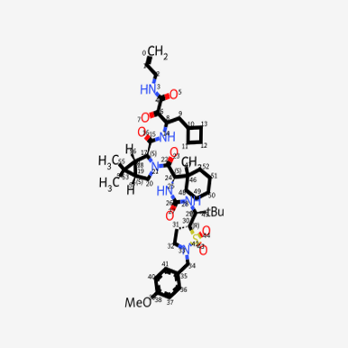 C=CCNC(=O)C(=O)C(CC1CCC1)NC(=O)[C@@H]1[C@@H]2[C@H](CN1C(=O)[C@@H](NC(=O)N[C@H]([C@H]1CCN(Cc3ccc(OC)cc3)S1(=O)=O)C(C)(C)C)C1(C)CCCCC1)C2(C)C